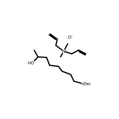 C=CC[N+](C)(C)CC=C.[CH2]C(O)CCCCCCCCCCCCCCCC.[Cl-]